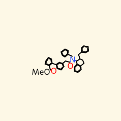 COC(=O)c1ccccc1-c1cccc(CC(=O)N(Cc2ccccc2)C2c3ccccc3CCC2Cc2ccccc2)c1